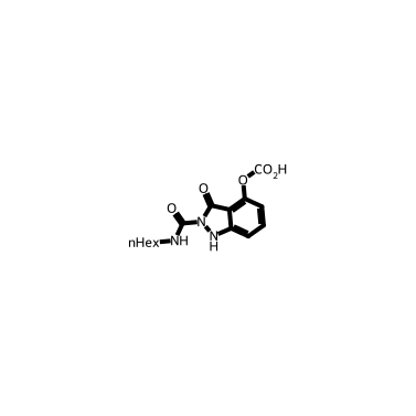 CCCCCCNC(=O)n1[nH]c2cccc(OC(=O)O)c2c1=O